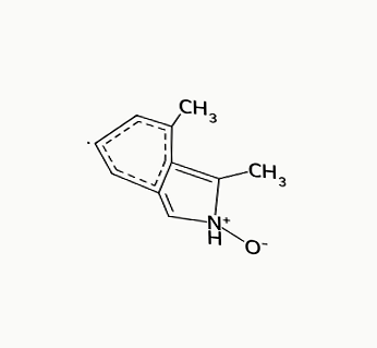 CC1=c2c(C)c[c]cc2=C[NH+]1[O-]